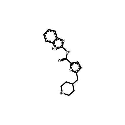 O=C(Nc1nc2ccccc2[nH]1)c1ccc(CC2CCNCC2)s1